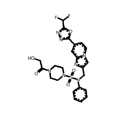 O=C(CO)N1CCN(S(=O)(=O)N(Cc2cn3ccc(-c4nnc(C(F)F)o4)cc3n2)c2ccccc2)CC1